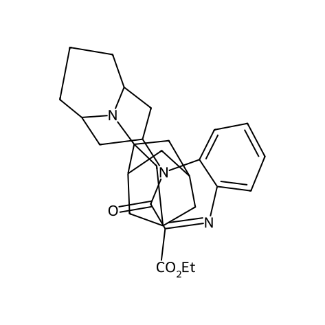 CCOC(=O)c1nc2ccccc2n(C2CC3CCCC(C2)N3C23CC4CC(CC2C4)C3)c1=O